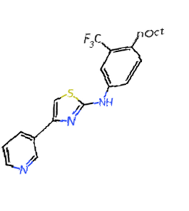 CCCCCCCCc1ccc(Nc2nc(-c3cccnc3)cs2)cc1C(F)(F)F